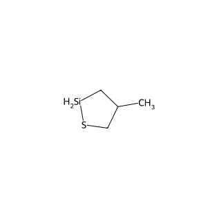 CC1C[SiH2]SC1